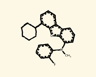 CN(c1ccccc1F)c1cccc2c1oc1c(C3CCCCC3)cccc12